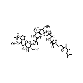 CCCCCCCC[C@@H](C(=O)N[C@@H](CC(C)C)C(=O)NC(C)(C)C(=O)N[C@@H](CC(C)C)C(=O)N[C@@H](CC(C)C)C(=O)NC(C)(C)C(=O)NC(C)(C)C(=O)NCCC(=O)N[C@@H](C)CN(C)C)N(C=O)[C@@H]1CCCN1S(C)(=O)=O